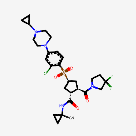 N#CC1(NC(=O)[C@@H]2C[C@@H](S(=O)(=O)c3ccc(N4CCN(C5CC5)CC4)cc3Cl)C[C@H]2C(=O)N2CCC(F)(F)C2)CC1